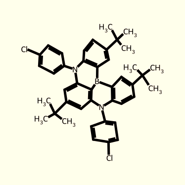 CC(C)(C)c1ccc2c(c1)B1c3cc(C(C)(C)C)ccc3N(c3ccc(Cl)cc3)c3cc(C(C)(C)C)cc(c31)N2c1ccc(Cl)cc1